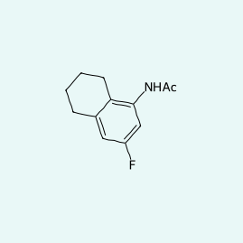 CC(=O)Nc1cc(F)cc2c1CCCC2